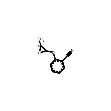 C[C@@H]1OC1Oc1ccccc1C#N